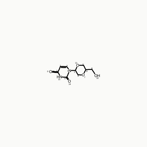 O=c1ccn(C2COC(CO)CO2)c(=O)[nH]1